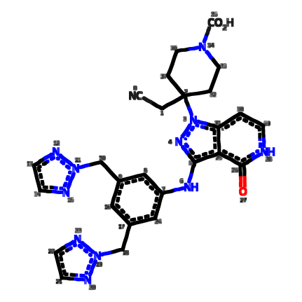 N#CCC1(n2nc(Nc3cc(Cn4nccn4)cc(Cn4nccn4)c3)c3c(=O)[nH]ccc32)CCN(C(=O)O)CC1